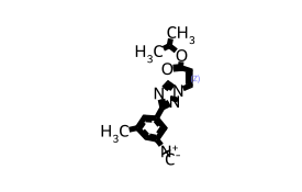 [C-]#[N+]c1cc(C)cc(-c2ncn(/C=C\C(=O)OC(C)C)n2)c1